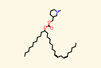 CCCCC/C=C\C/C=C\CCCCCCCC(CCCCCCCCCC)OC(=O)OCC1CCCN(C)C1